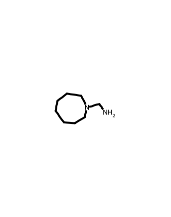 NCN1CCCCCCC1